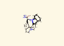 CC[C@@]12C=C(C(=O)NN)n3c4c(c5ccccc53)CCN(CCC1)[C@H]42